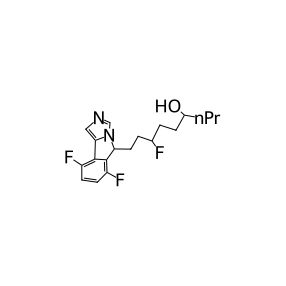 CCCC(O)CCC(F)CCC1c2c(F)ccc(F)c2-c2cncn21